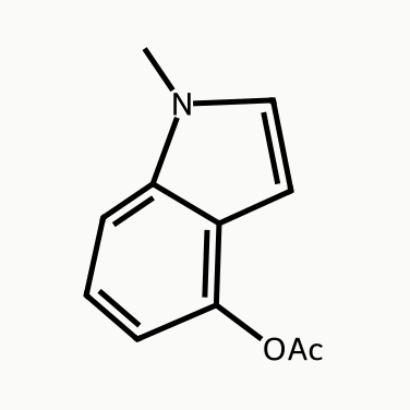 CC(=O)Oc1cccc2c1ccn2C